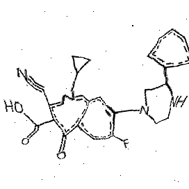 N#Cc1c(C(=O)O)c(=O)c2cc(F)c(N3CCNC(c4ccccc4)C3)cc2n1C1CC1